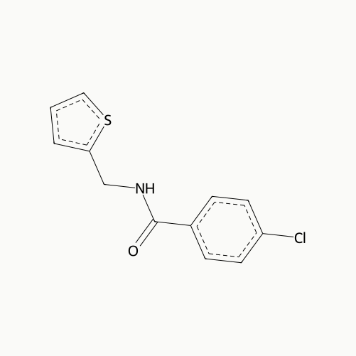 O=C(NCc1cccs1)c1ccc(Cl)cc1